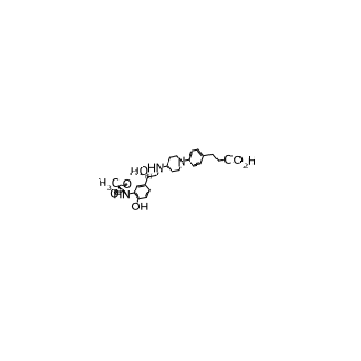 CS(=O)(=O)Nc1cc([C@H](O)CNC2CCN(c3ccc(CCC(=O)O)cc3)CC2)ccc1O